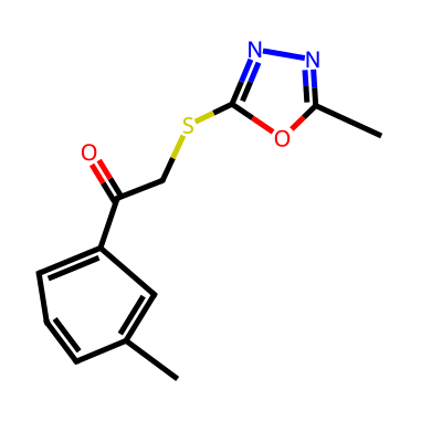 Cc1cccc(C(=O)CSc2nnc(C)o2)c1